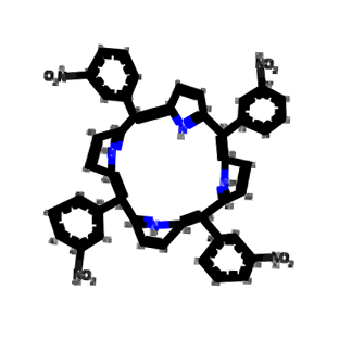 O=[N+]([O-])c1cccc(C2=C3C=CC(=N3)C(c3cccc([N+](=O)[O-])c3)=C3C=CC(=N3)C(c3cccc([N+](=O)[O-])c3)=C3C=CC(=N3)C(c3cccc([N+](=O)[O-])c3)=C3C=CC2=N3)c1